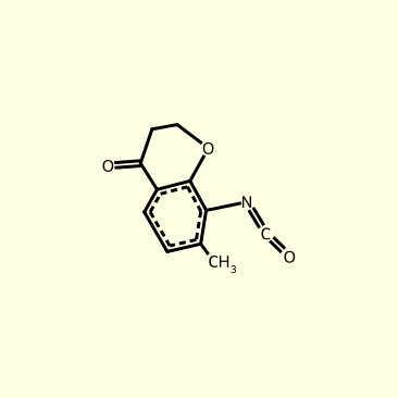 Cc1ccc2c(c1N=C=O)OCCC2=O